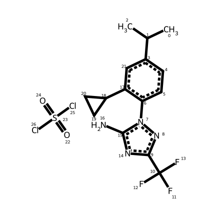 CC(C)c1ccc(-n2nc(C(F)(F)F)nc2N)c(C2CC2)c1.O=S(=O)(Cl)Cl